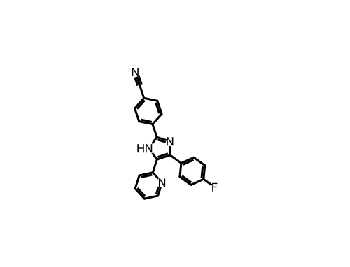 N#Cc1ccc(-c2nc(-c3ccc(F)cc3)c(-c3ccccn3)[nH]2)cc1